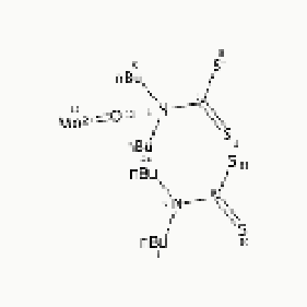 CCCCN(CCCC)C(=S)[S-].CCCCN(CCCC)C(=S)[S-].[O]=[Mo+2]